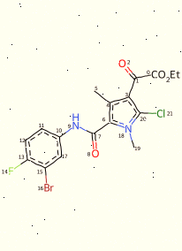 CCOC(=O)C(=O)c1c(C)c(C(=O)Nc2ccc(F)c(Br)c2)n(C)c1Cl